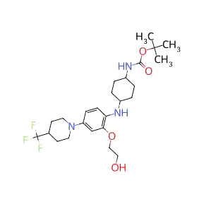 CC(C)(C)OC(=O)NC1CCC(Nc2ccc(N3CCC(C(F)(F)F)CC3)cc2OCCO)CC1